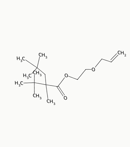 C=CCOCCOC(=O)C(C)(CC(C)(C)C)C(C)(C)C